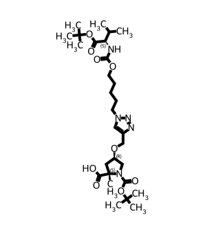 CC(C)[C@H](NC(=O)OCCCCCn1cc(CO[C@H]2CN(C(=O)OC(C)(C)C)[C@](C)(C(=O)O)C2)nn1)C(=O)OC(C)(C)C